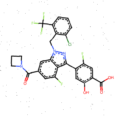 O=C(O)c1cc(F)c(-c2nn(Cc3c(Cl)cccc3C(F)(F)F)c3cc(C(=O)N4CCC4)cc(F)c23)cc1O